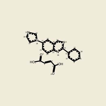 O=C(O)C=CC(=O)O.c1ccc(-c2ncc3cc(-n4ccnc4)ccc3n2)cc1